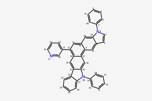 c1ccc(-n2ccc3cc4c(cc(-c5cccnc5)c5cc6c7ccccc7n(-c7ccccc7)c6cc54)cc32)cc1